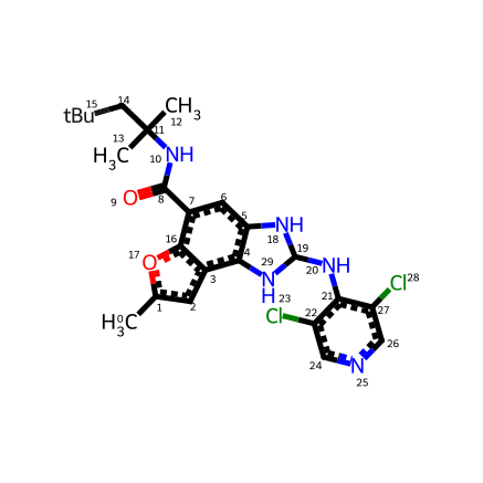 Cc1cc2c3c(cc(C(=O)NC(C)(C)CC(C)(C)C)c2o1)NC(Nc1c(Cl)cncc1Cl)N3